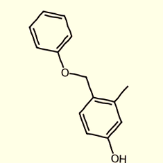 Cc1cc(O)ccc1COc1ccccc1